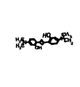 CN(C)c1ccc(C2=CC(c3ccc(N(C)C)cc3O)C2)c(O)c1